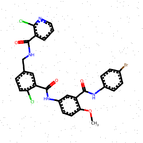 COc1ccc(NC(=O)c2cc(CNC(=O)c3cccnc3Cl)ccc2Cl)cc1C(=O)Nc1ccc(Br)cc1